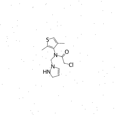 Cc1csc(C)c1N(CN1C=CCN1)C(=O)CCl